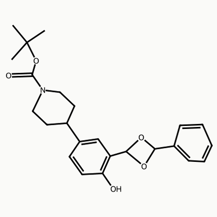 CC(C)(C)OC(=O)N1CCC(c2ccc(O)c(C3OC(c4ccccc4)O3)c2)CC1